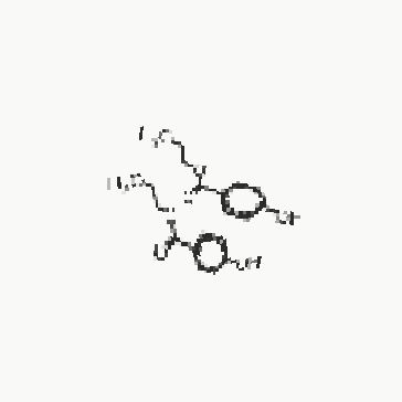 CCCOC(=O)c1ccc(O)cc1.CCCOC(=O)c1ccc(O)cc1